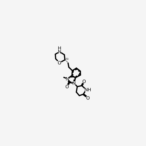 Cn1c(=O)n(C2CCC(=O)NC2=O)c2cccc(CC[C@H]3CNCCO3)c21